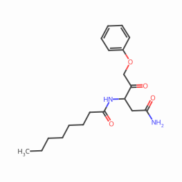 CCCCCCCC(=O)NC(CC(N)=O)C(=O)COc1ccccc1